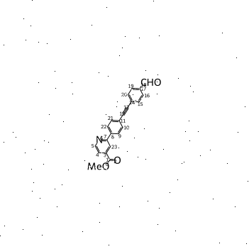 COC(=O)c1ccnc(-c2ccc(C#Cc3ccc(C=O)cc3)cc2)c1